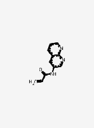 C=CC(=O)Nc1cnc2ncccc2c1